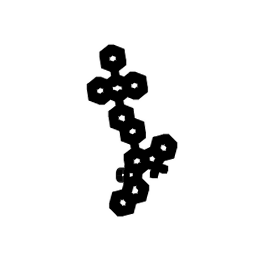 CC1(C)c2ccccc2-c2c(-c3ccc4cc(-c5c6ccccc6c(-c6ccccc6)c6ccccc56)ccc4c3)cc3oc4c5ccccc5ccc4c3c21